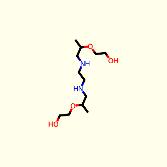 CC(CNCCNCC(C)OCCO)OCCO